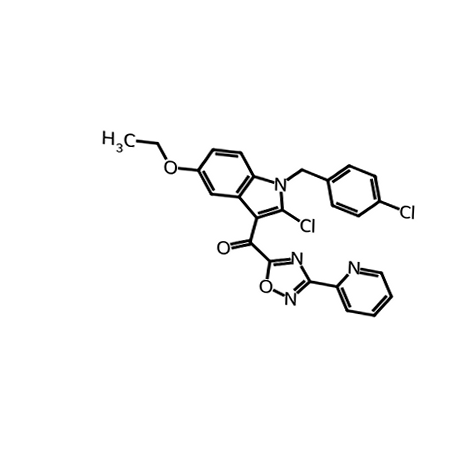 CCOc1ccc2c(c1)c(C(=O)c1nc(-c3ccccn3)no1)c(Cl)n2Cc1ccc(Cl)cc1